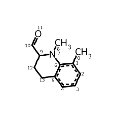 Cc1cccc2c1N(C)C(C=O)CC2